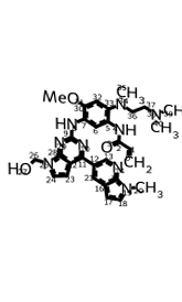 C=CC(=O)Nc1cc(Nc2nc(-c3cnc4c(ccn4C)c3)c3ccn(CO)c3n2)c(OC)cc1N(C)CCN(C)C